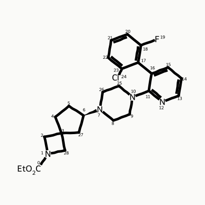 CCOC(=O)N1CC2(CC[C@@H](N3CCN(c4ncccc4-c4c(F)cccc4Cl)CC3)C2)C1